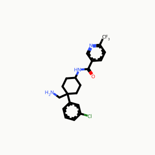 NCC1(c2cccc(Cl)c2)CCC(NC(=O)c2ccc(C(F)(F)F)nc2)CC1